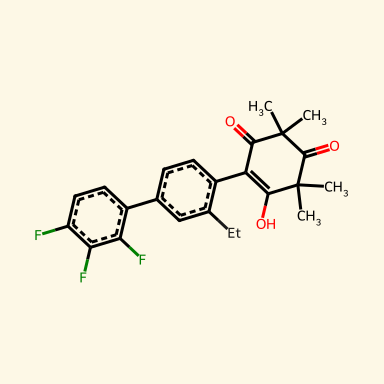 CCc1cc(-c2ccc(F)c(F)c2F)ccc1C1=C(O)C(C)(C)C(=O)C(C)(C)C1=O